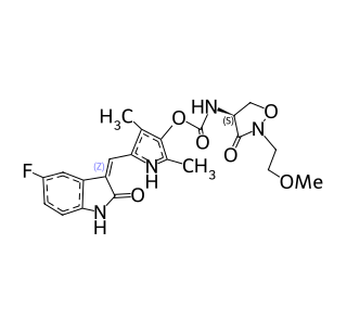 COCCN1OC[C@H](NC(=O)Oc2c(C)[nH]c(/C=C3\C(=O)Nc4ccc(F)cc43)c2C)C1=O